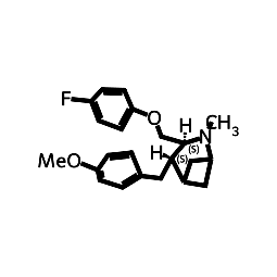 COc1ccc(C[C@H]2C3CC(C3)N(C)[C@@H]2COc2ccc(F)cc2)cc1